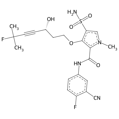 Cn1cc(S(N)(=O)=O)c(OCC[C@@H](O)C#CC(C)(C)F)c1C(=O)Nc1ccc(F)c(C#N)c1